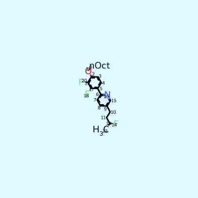 CCCCCCCCOc1ccc(-c2ccc(CCC(C)F)cn2)c(F)c1F